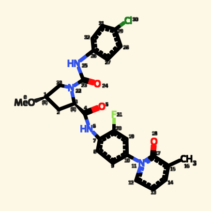 CO[C@@H]1C[C@H](C(=O)Nc2ccc(-n3cccc(C)c3=O)cc2F)N(C(=O)Nc2ccc(Cl)cc2)C1